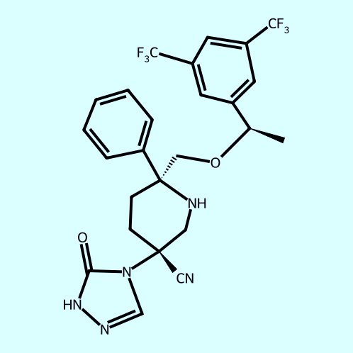 C[C@@H](OC[C@@]1(c2ccccc2)CC[C@@](C#N)(n2cn[nH]c2=O)CN1)c1cc(C(F)(F)F)cc(C(F)(F)F)c1